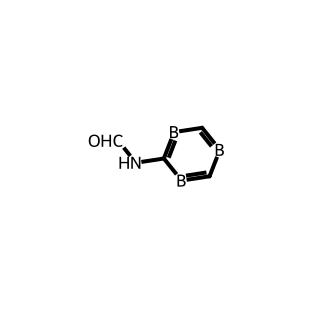 O=CNc1bcbcb1